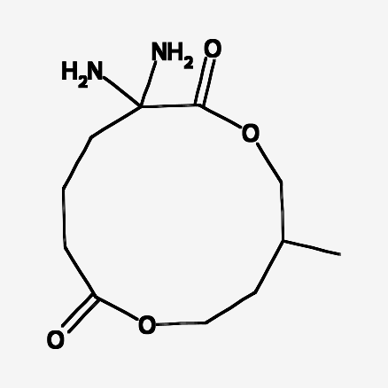 CC1CCOC(=O)CCCC(N)(N)C(=O)OC1